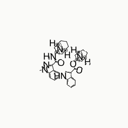 CN1[C@@H]2CCC[C@H]1C[C@@H](NC(=O)c1nn(C)c3ccccc13)C2.CN1[C@@H]2CC[C@H]1C[C@@H](OC(=O)c1c[nH]c3ccccc13)C2